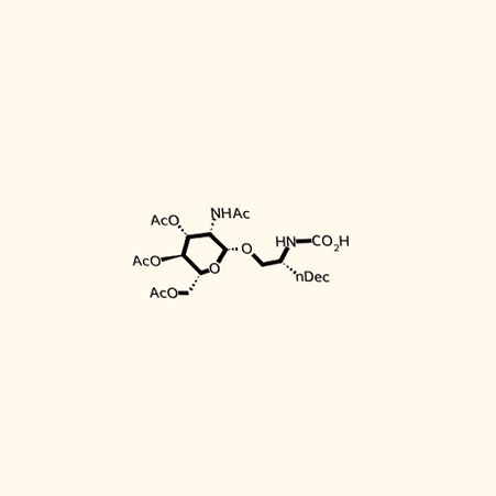 CCCCCCCCCC[C@H](CO[C@@H]1O[C@H](COC(C)=O)[C@@H](OC(C)=O)[C@H](OC(C)=O)[C@@H]1NC(C)=O)NC(=O)O